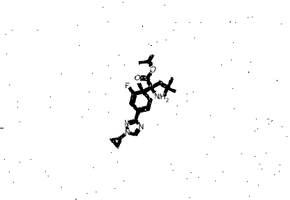 CC(C)OC(=O)C(N)(CC(C)(C)C)C1(C)CC=C(c2ncn(C3CC3)n2)C=C1F